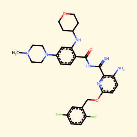 CN1CCN(c2ccc(C(=O)NC(=N)c3nc(OCc4cc(F)ccc4F)ccc3N)c(NC3CCOCC3)c2)CC1